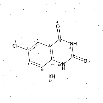 O=c1[nH]c(=O)c2cc(Cl)ccc2[nH]1.[KH]